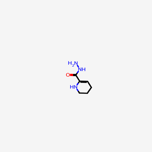 NNC(=O)C1=CCCCN1